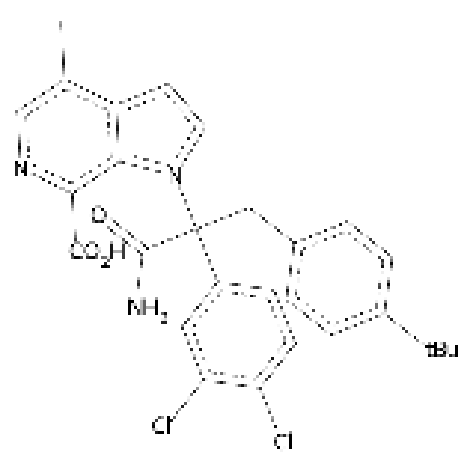 Cc1cnc(C(=O)O)c2c1ccn2C(Cc1ccc(C(C)(C)C)cc1)(C(N)=O)c1ccc(Cl)c(Cl)c1